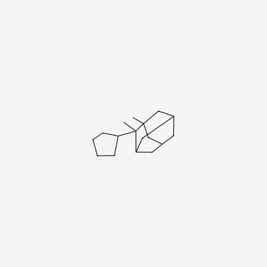 CC12CC3CC(CC(C3)C1(C)C1CCCC1)C2